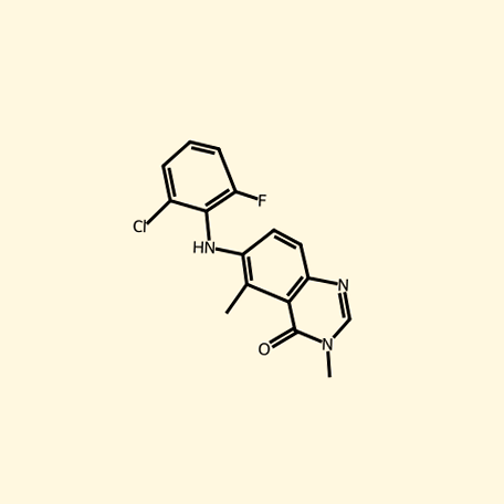 Cc1c(Nc2c(F)cccc2Cl)ccc2ncn(C)c(=O)c12